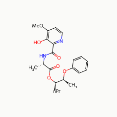 CCC[C@@H](OC(=O)[C@H](C)NC(=O)c1nccc(OC)c1O)[C@H](C)Oc1ccccc1